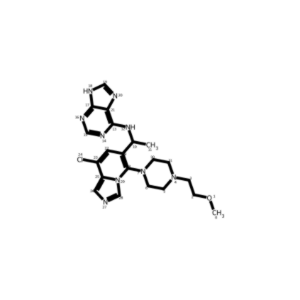 COCCN1CCN(c2c(C(C)Nc3ncnc4[nH]cnc34)cc(Cl)c3cncn23)CC1